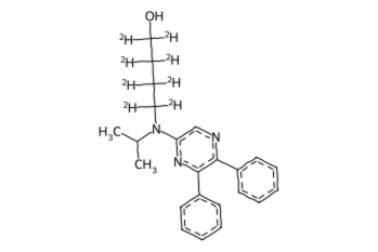 [2H]C([2H])(O)C([2H])([2H])C([2H])([2H])C([2H])([2H])N(c1cnc(-c2ccccc2)c(-c2ccccc2)n1)C(C)C